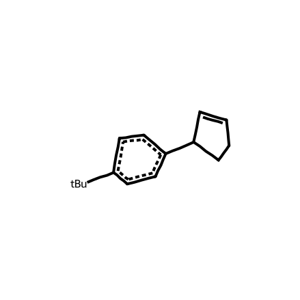 CC(C)(C)c1ccc(C2C=CCC2)cc1